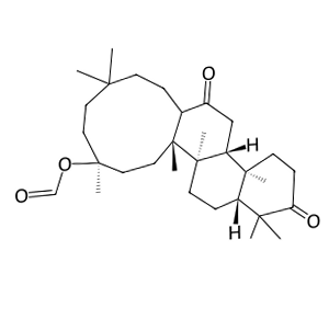 CC1(C)CCC2C(=O)C[C@@H]3[C@@]4(C)CCC(=O)C(C)(C)[C@@H]4CC[C@@]3(C)[C@]2(C)CC[C@@](C)(OC=O)CC1